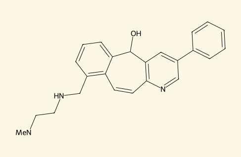 CNCCNCc1cccc2c1C=Cc1ncc(-c3ccccc3)cc1C2O